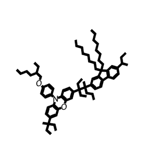 CCCCCCCCC1(CCCCCCCC)c2cc(C(C)CC)ccc2-c2ccc(C(C)(CCC)C(CC)(CC)c3ccc4c(c3)Oc3cc(C(C)(CC)CC)ccc3N4c3ccc(OCC(CC)CCCC)cc3)cc21